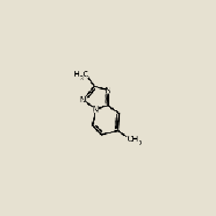 Cc1ccn2nc(C)nc2c1